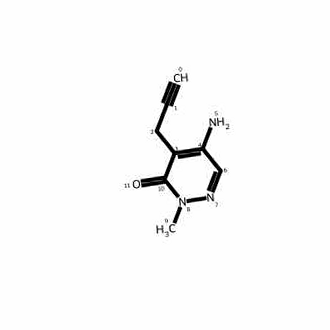 C#CCc1c(N)cnn(C)c1=O